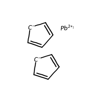 [Pb+2].c1cc[cH-]c1.c1cc[cH-]c1